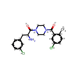 NC(Cc1cccc(Cl)c1)C(=O)N1CCN(C(=O)c2cc(Cl)ccc2C(F)(F)F)CC1